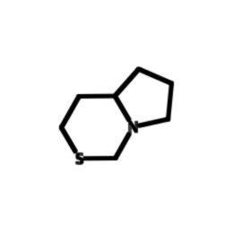 C1CC2CCSCN2C1